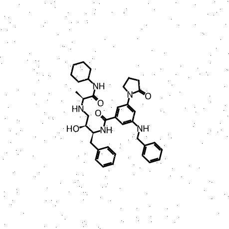 C[C@H](NC[C@H](O)[C@H](Cc1ccccc1)NC(=O)c1cc(NCc2ccccc2)cc(N2CCCC2=O)c1)C(=O)NC1CCCCC1